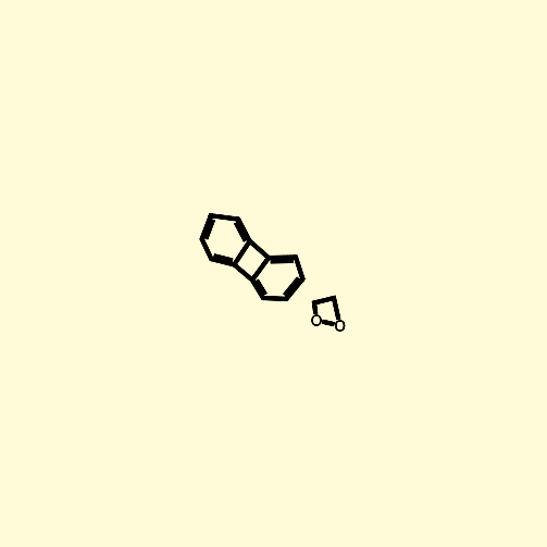 C1COO1.c1ccc2c(c1)-c1ccccc1-2